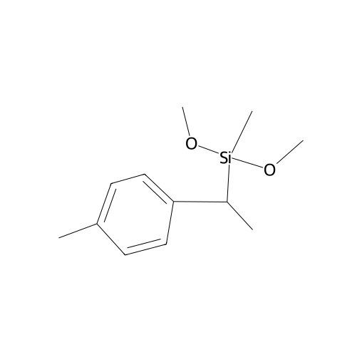 CO[Si](C)(OC)C(C)c1ccc(C)cc1